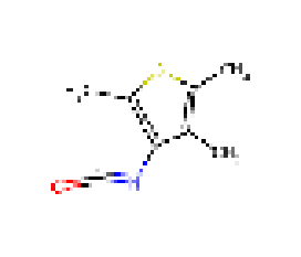 Cc1sc(C)c(N=C=O)c1C